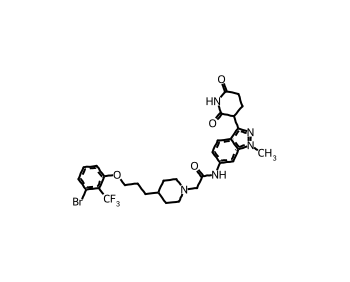 Cn1nc(C2CCC(=O)NC2=O)c2ccc(NC(=O)CN3CCC(CCCOc4cccc(Br)c4C(F)(F)F)CC3)cc21